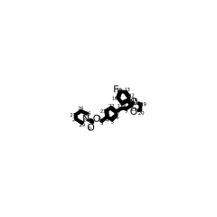 O=C(OCc1ccc(CCC2(c3ccc(F)cc3)OCCO2)cc1)N1CCCCC1